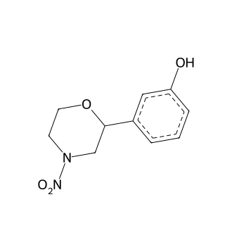 O=[N+]([O-])N1CCOC(c2cccc(O)c2)C1